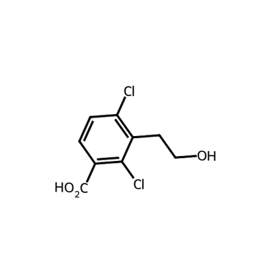 O=C(O)c1ccc(Cl)c(CCO)c1Cl